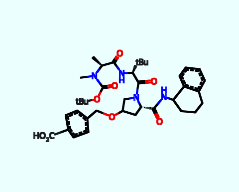 C[C@@H](C(=O)N[C@H](C(=O)N1CC(OCc2ccc(C(=O)O)cc2)C[C@H]1C(=O)NC1CCCc2ccccc21)C(C)(C)C)N(C)C(=O)OC(C)(C)C